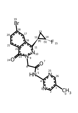 Cc1cnc(NC(=O)Cn2nc([C@H]3C[C@@H]3F)c3cc(Br)ccc3c2=O)nc1